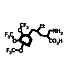 CCC(Cc1ccc(OC(F)(F)F)c(OC(F)(F)F)c1OC(F)(F)F)CC(CN)C(=O)O